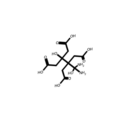 NC(N)(O)C(CC(=O)O)(CC(=O)O)C(O)(CC(=O)O)CC(=O)O